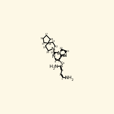 N/C=C\C=C(/N)Sc1cnc(N2CCC3(CCCC3)CC2)n2ccnc12